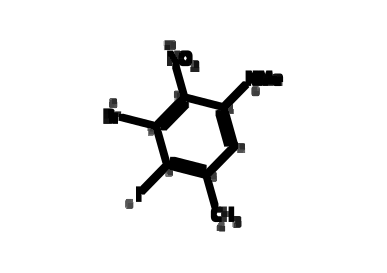 CNc1cc(C)c(I)c(Br)c1[N+](=O)[O-]